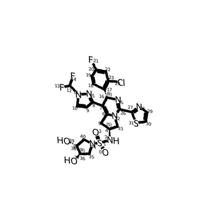 O=S(=O)(N[C@H]1CC2=C(c3ccn(C(F)F)n3)[C@H](c3ccc(F)cc3Cl)N=C(c3nccs3)N2C1)N1C[C@@H](O)[C@H](O)C1